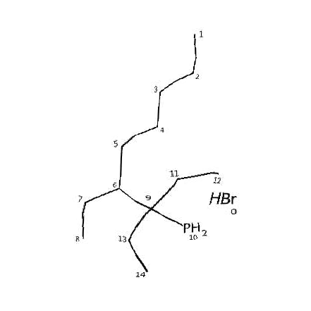 Br.CCCCCC(CC)C(P)(CC)CC